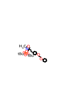 CC1=NC(CCc2ccc(OCCOc3ccccc3)cc2)(COP(=O)(OC(C)(C)C)OC(C)(C)C)CO1